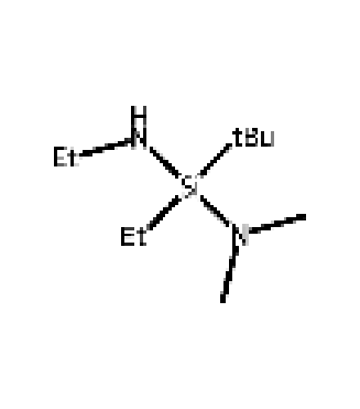 CCN[Si](CC)(N(C)C)C(C)(C)C